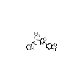 CC(OCc1ccccn1)c1coc(-c2ccc3c(c2)OCO3)n1